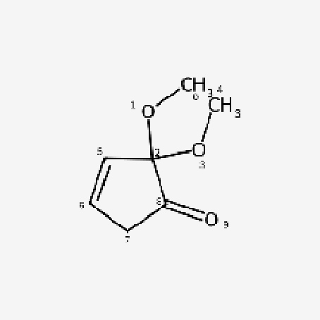 COC1(OC)C=CCC1=O